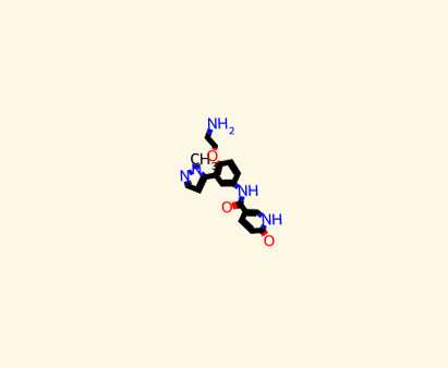 Cn1nccc1-c1cc(NC(=O)c2ccc(=O)[nH]c2)ccc1OCCN